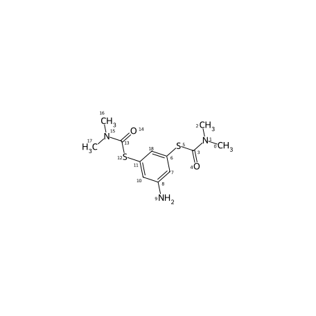 CN(C)C(=O)Sc1cc(N)cc(SC(=O)N(C)C)c1